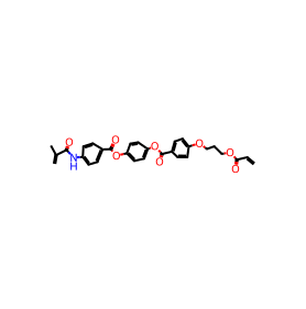 C=CC(=O)OCCCOc1ccc(C(=O)Oc2ccc(OC(=O)c3ccc(NC(=O)C(=C)C)cc3)cc2)cc1